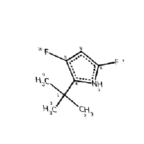 CC(C)(C)c1[nH]c(F)cc1F